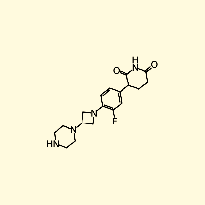 O=C1CCC(c2ccc(N3CC(N4CCNCC4)C3)c(F)c2)C(=O)N1